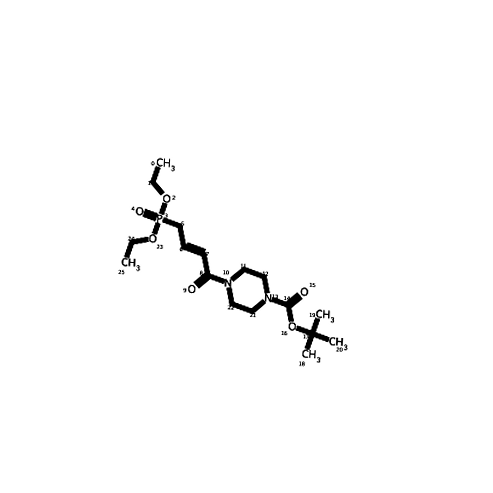 CCOP(=O)(CC=CC(=O)N1CCN(C(=O)OC(C)(C)C)CC1)OCC